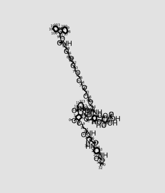 COc1cc2c(cc1OCCCC(=O)Nc1cc(C(=O)Nc3ccc(NC(=O)OC(C)(C)C)cc3)n(C)c1)N(C(=O)OCc1ccc(O[C@@H]3O[C@H](C(=O)O)[C@@H](O)[C@H](O)[C@H]3O)c(NC(=O)CCOCCOCCOCCOCCOCCOCCOCCOCCNC(=O)OCC3c4ccccc4-c4ccccc43)c1)C(O)[C@@H]1CCCCN1C2=O